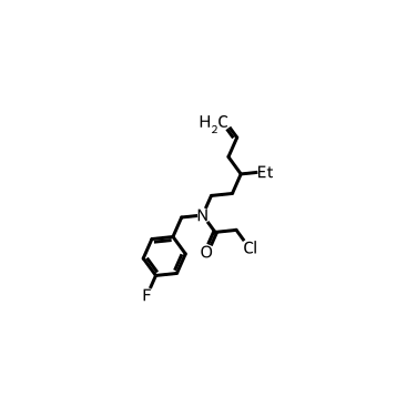 C=CCC(CC)CCN(Cc1ccc(F)cc1)C(=O)CCl